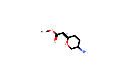 CC(C)(C)OC(=O)/C=C1/CCC(N)CO1